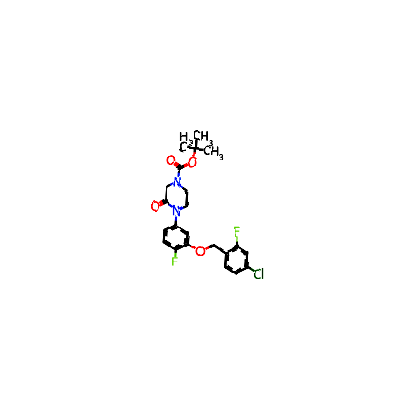 CC(C)(C)OC(=O)N1CCN(c2ccc(F)c(OCc3ccc(Cl)cc3F)c2)C(=O)C1